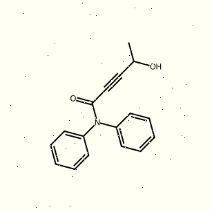 CC(O)C#CC(=O)N(c1ccccc1)c1ccccc1